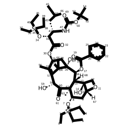 CC[Si](CC)(CC)O[C@H]1C[C@H]2OC[C@@]2(O)[C@H]2[C@H](OC(=O)c3ccccc3)[C@]3(O)C[C@H](OC(=O)[C@H](O[Si](CC)(CC)CC)[C@H](CC(C)C)NC(=O)OC(C)(C)C)C(C)=C([C@@H](O)C(=O)[C@]12C)C3(C)C